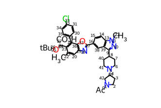 CC(=O)N1CC[C@@H](N2CCC(c3nn(C)c4ccc(-c5nc6cc(C)c([C@H](OC(C)(C)C)C(=O)O)c(-c7ccc(Cl)cc7)c6o5)cc34)CC2)C1